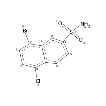 NS(=O)(=O)c1ccc2c(Cl)ccc(Br)c2c1